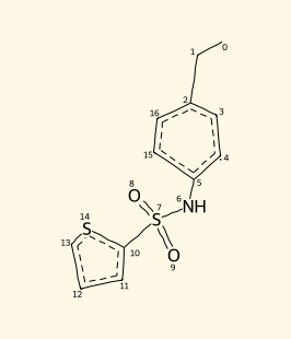 CCc1c[c]c(NS(=O)(=O)c2cccs2)cc1